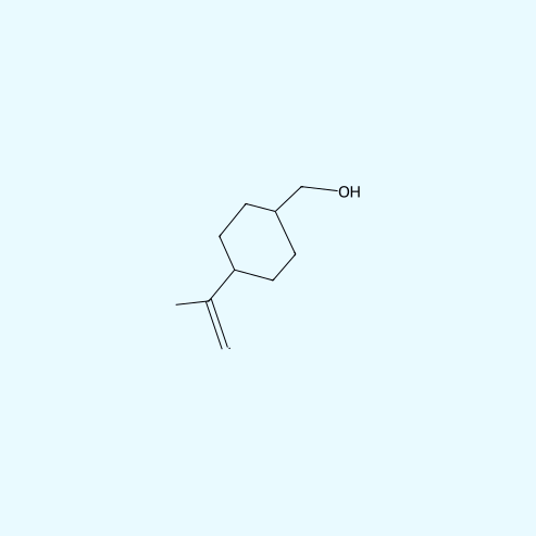 [CH]=C(C)C1CCC(CO)CC1